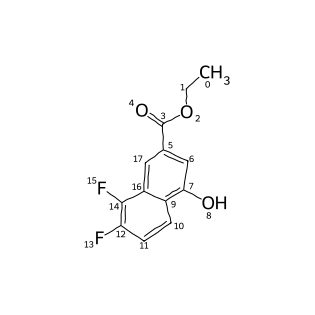 CCOC(=O)c1cc(O)c2ccc(F)c(F)c2c1